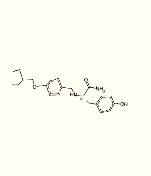 CCC(CC)COc1ccc(CN[C@@H](Cc2ccc(O)cc2)C(N)=O)cc1